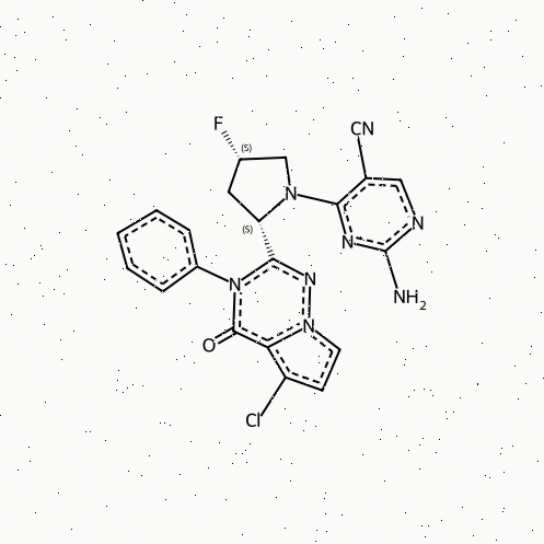 N#Cc1cnc(N)nc1N1C[C@@H](F)C[C@H]1c1nn2ccc(Cl)c2c(=O)n1-c1ccccc1